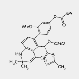 CCCC(=O)Oc1ccc(-c2ccc3c(c2C(OC=O)c2ccc(C)s2)C(C)=CC(C)(C)N3)c(OC)c1